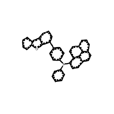 c1ccc(N(c2ccc(-c3cccc4c3oc3ccccc34)cc2)c2ccc3ccc4cccc5ccc2c3c45)cc1